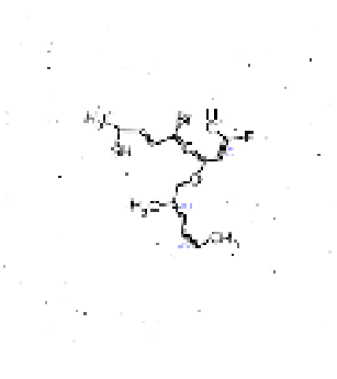 C/C=C\C=C(/C)COC(=C=C(Br)C=CC(C)S)/C=C(\C)F